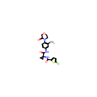 Cc1cc(NC(=O)C2(NC(=O)c3ccc(Cl)s3)CC2)ccc1N1CCOCC1=O